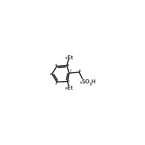 CCc1cccc(CC)c1CS(=O)(=O)O